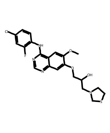 COc1cc2c(Nc3ccc(Cl)cc3F)ncnc2cc1OCC(O)CN1CCSC1